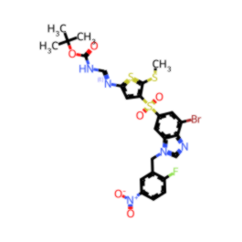 CSc1sc(/N=C/NC(=O)OC(C)(C)C)cc1S(=O)(=O)c1cc(Br)c2ncn(Cc3cc([N+](=O)[O-])ccc3F)c2c1